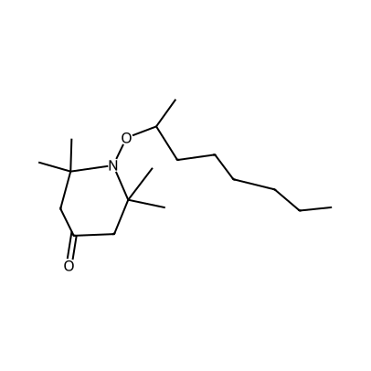 CCCCCCC(C)ON1C(C)(C)CC(=O)CC1(C)C